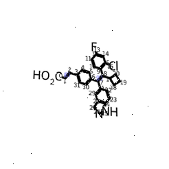 O=C(O)/C=C/c1ccc(/C(=C(\c2ccc(F)cc2Cl)C2CCC2)c2ccc3[nH]ncc3c2)cc1